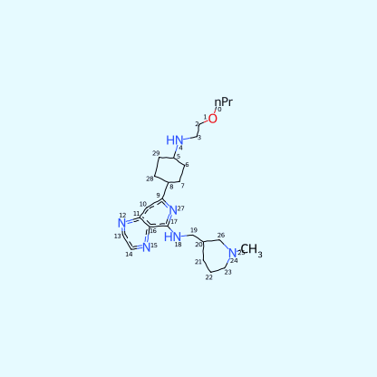 CCCOCCNC1CCC(c2cc3nccnc3c(NCC3CCCN(C)C3)n2)CC1